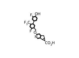 O=C(O)C1C2Cc3cc(OCc4cc(-c5ccc(O)c(F)c5)c(C(F)(F)F)cc4F)ncc3C21